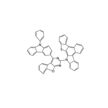 c1ccc(-n2c3ccccc3c3cc(-c4nc(-n5c6ccccc6c6c7ccccc7c7c8ccccc8sc7c65)nc5oc6ccccc6c45)ccc32)cc1